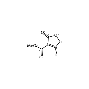 COC(=O)C1=C(C)COC1=O